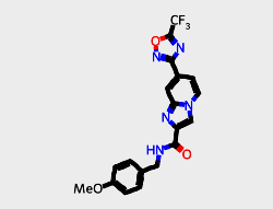 COc1ccc(CNC(=O)c2cn3ccc(-c4noc(C(F)(F)F)n4)cc3n2)cc1